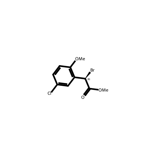 COC(=O)[C@H](Br)c1cc(Cl)ccc1OC